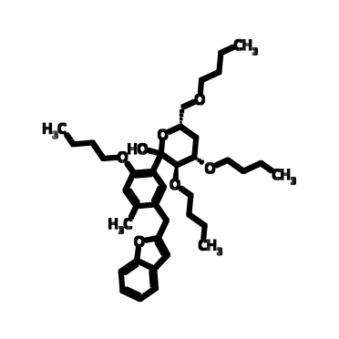 CCCCOC[C@@H]1C[C@H](OCCCC)[C@@H](OCCCC)C(O)(c2cc(Cc3cc4ccccc4o3)c(C)cc2OCCCC)O1